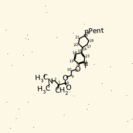 C=C(CN(C)C)C(=O)OCCOc1ccc(C2CCC(CCCCC)CC2)cc1F